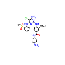 COc1cc(C(=O)N[C@H]2CC[C@H](N)CC2)ccc1Nc1nc(N)c(Cl)c(Nc2ccccc2S(=O)(=O)C(C)C)n1